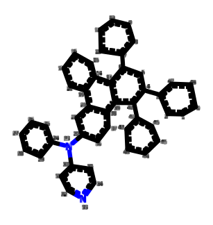 c1ccc(-c2cc(-c3ccccc3)c3c4ccccc4c4cc(N(c5ccccc5)c5ccncc5)ccc4c3c2-c2ccccc2)cc1